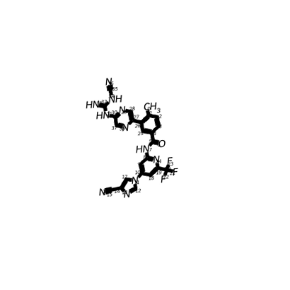 Cc1ccc(C(=O)Nc2cc(-n3cnc(C#N)c3)cc(C(F)(F)F)n2)cc1-c1cnc(NC(=N)NC#N)cn1